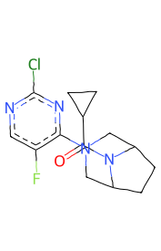 O=C(C1CC1)N1C2CCC1CN(c1nc(Cl)ncc1F)C2